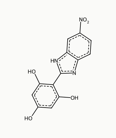 O=[N+]([O-])c1ccc2nc(-c3c(O)cc(O)cc3O)[nH]c2c1